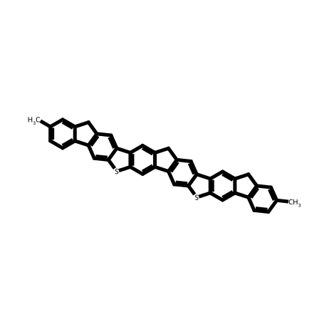 Cc1ccc2c(c1)Cc1cc3c(cc1-2)sc1cc2c(cc13)Cc1cc3c(cc1-2)sc1cc2c(cc13)Cc1cc(C)ccc1-2